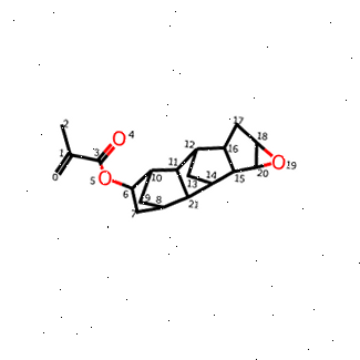 C=C(C)C(=O)OC1CC2CC1C1C3CC(C4C3CC3OC34)C21